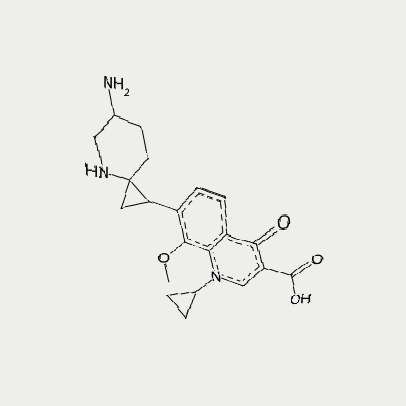 COc1c(C2CC23CCC(N)CN3)ccc2c(=O)c(C(=O)O)cn(C3CC3)c12